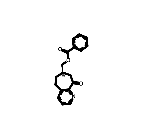 O=C(OC[C@@H]1CCc2cccnc2C(=O)C1)c1ccccc1